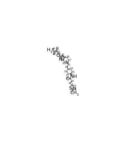 Cc1ncc(/C=C/C(=O)N[C@H]2CC[C@H](CCN3CCc4sc(OCC(C)(F)F)nc4C3)CC2)s1